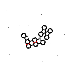 c1ccc(-c2ccc(-c3ccccc3N(c3ccc(-c4cccc5c4sc4ccccc45)cc3)c3ccc4c(c3)C3(c5ccccc5-c5ccccc53)c3ccccc3-4)cc2)cc1